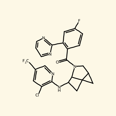 O=C(c1ccc(F)cc1-c1ncccn1)N1CC2CC23CC(Nc2ncc(C(F)(F)F)cc2Cl)C13